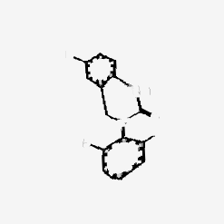 O=C1Nc2ccc(F)cc2CN1c1c(F)cccc1F